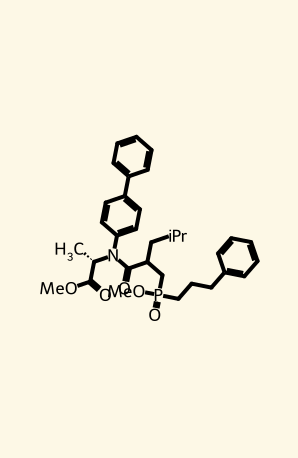 COC(=O)[C@H](C)N(C(=O)C(CC(C)C)CP(=O)(CCCc1ccccc1)OC)c1ccc(-c2ccccc2)cc1